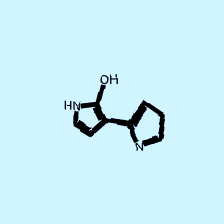 Oc1[nH]ccc1C1=CCC=N1